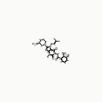 CC(C)=CCn1c(N2CCCC(N)C2)nc2c1c(=O)n(CC(=O)c1cccc(F)c1N)c(=O)n2C